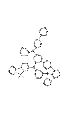 CC1(C)c2ccccc2-c2ccc(N(c3cccc(N(c4ccccc4)c4ccc(-c5ccccc5)cc4)c3)c3cccc(C4(c5ccccc5)c5ccccc5-c5ccccc54)c3)cc21